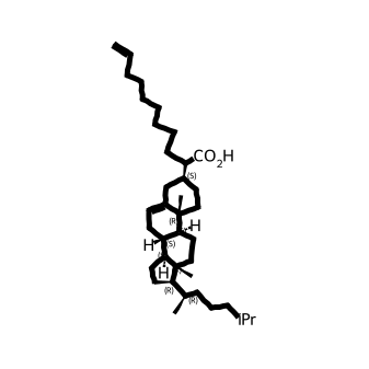 C=CCCCCCCCC(C(=O)O)[C@H]1CC[C@@]2(C)C(=CC[C@H]3[C@@H]4CC[C@H]([C@H](C)CCCC(C)C)[C@@]4(C)CC[C@@H]32)C1